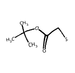 CC(C)(C)OC(=O)C[S]